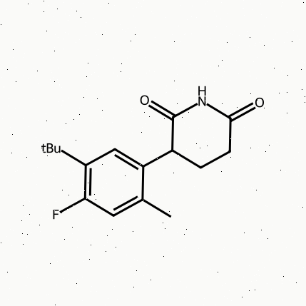 Cc1cc(F)c(C(C)(C)C)cc1C1CCC(=O)NC1=O